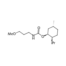 COCCCNC(=O)O[C@H]1C[C@H](C)CC[C@H]1C(C)C